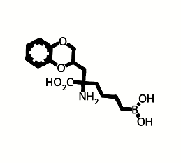 NC(CCCCB(O)O)(CC1COc2ccccc2O1)C(=O)O